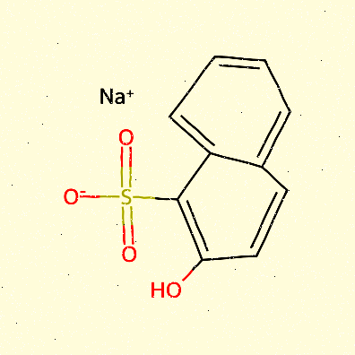 O=S(=O)([O-])c1c(O)ccc2ccccc12.[Na+]